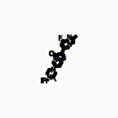 Cc1cn2cc(C3=C\C(=O)N4C=C(N5CCN(C(C)C)[C@@H](C)C5)C=C\C4=C/C=C/3)cc(F)c2n1